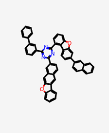 c1ccc(-c2cccc(-c3nc(-c4ccc5cc6c(cc5c4)oc4ccccc46)nc(-c4cccc5oc6cc(-c7ccc8ccccc8c7)ccc6c45)n3)c2)cc1